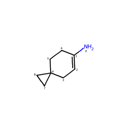 NC1=CCC2(CC1)CC2